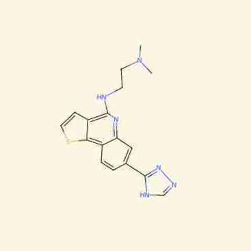 CN(C)CCNc1nc2cc(-c3nnc[nH]3)ccc2c2sccc12